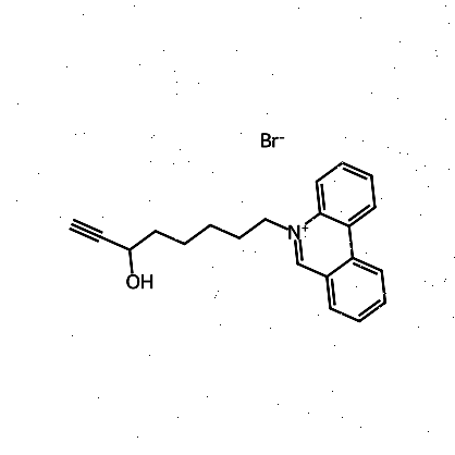 C#CC(O)CCCCC[n+]1cc2ccccc2c2ccccc21.[Br-]